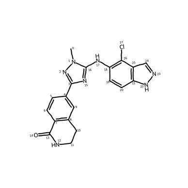 Cn1nc(-c2ccc3c(c2)CCNC3=O)nc1Nc1ccc2[nH]ncc2c1Cl